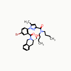 CCCCN(CCCC)C(=O)c1cc(C)n(-c2ccc(Br)cc2C(=O)N2Cc3ccccc3C[C@H]2CO)n1